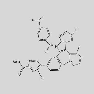 COC(=O)c1ccc(-c2cccc(-c3c(-c4c(C)cccc4C)c4cc(F)ccc4n3[S+]([O-])c3ccc(C(F)F)cc3)c2)c(Cl)c1